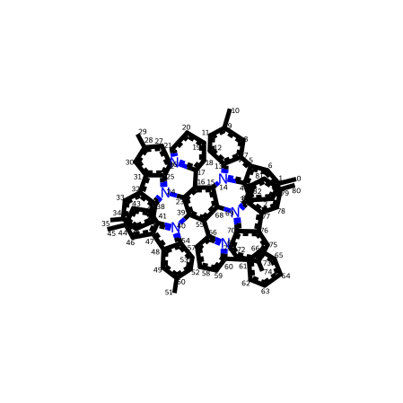 Cc1ccc2c(c1)c1cc(C)ccc1n2-c1c(-c2ccccn2)c(-n2c3ccc(C)cc3c3cc(C)ccc32)c(-n2c3ccc(C)cc3c3cc(C)ccc32)c(-c2cccc(-c3ccccc3)n2)c1-n1c2ccc(C)cc2c2cc(C)ccc21